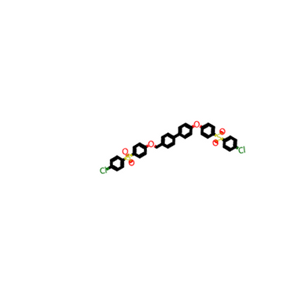 O=S(=O)(c1ccc(Cl)cc1)c1ccc(OCc2ccc(-c3ccc(Oc4ccc(S(=O)(=O)c5ccc(Cl)cc5)cc4)cc3)cc2)cc1